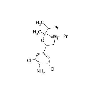 CC(C)NCC(O[Si](C)(C)C(C)C(C)C)c1cc(Cl)c(N)c(Cl)c1